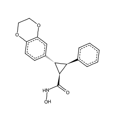 O=C(NO)[C@@H]1[C@H](c2ccccc2)[C@H]1c1ccc2c(c1)OCCO2